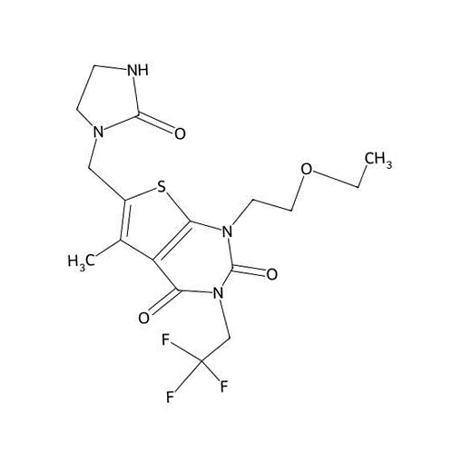 CCOCCn1c(=O)n(CC(F)(F)F)c(=O)c2c(C)c(CN3CCNC3=O)sc21